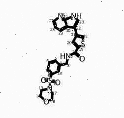 O=C(NCc1cccc(S(=O)(=O)N2CCOCC2)c1)c1cc(-c2c[nH]c3ncccc23)cs1